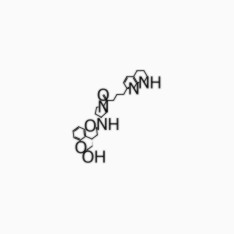 O=C(O)C[C@@H](CC(=O)N[C@H]1CCN(C(=O)CCCc2ccc3c(n2)NCCC3)C1)c1ccccc1